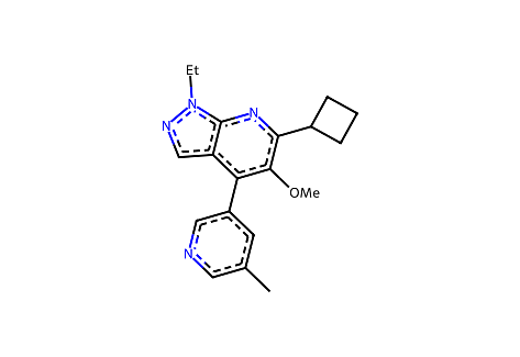 CCn1ncc2c(-c3cncc(C)c3)c(OC)c(C3CCC3)nc21